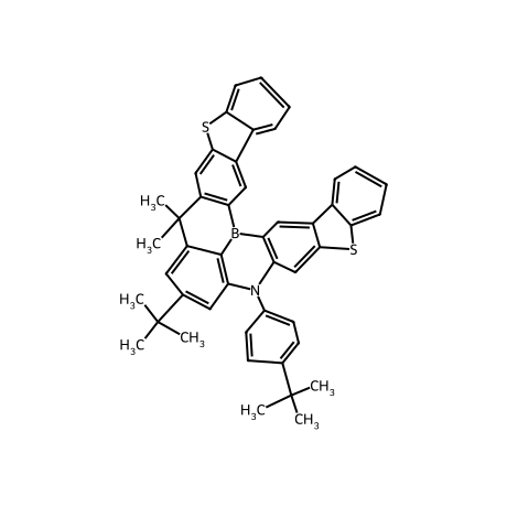 CC(C)(C)c1ccc(N2c3cc4sc5ccccc5c4cc3B3c4cc5c(cc4C(C)(C)c4cc(C(C)(C)C)cc2c43)sc2ccccc25)cc1